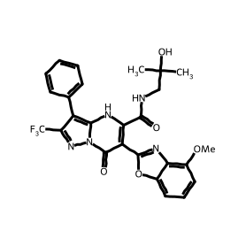 COc1cccc2oc(-c3c(C(=O)NCC(C)(C)O)[nH]c4c(-c5ccccc5)c(C(F)(F)F)nn4c3=O)nc12